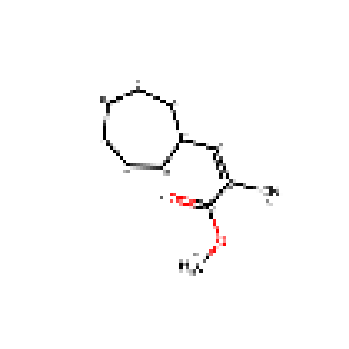 COC(=O)C(C)=CC1CCCCCC1